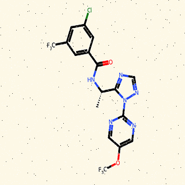 C[C@H](NC(=O)c1cc(Cl)cc(C(F)(F)F)c1)c1ncnn1-c1ncc(OC(F)(F)F)cn1